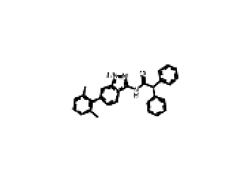 Cc1cccc(C)c1-c1ccc2c(NC(=O)C(c3ccccc3)c3ccccc3)n[nH]c2c1